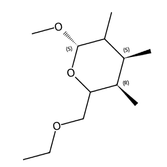 CCOCC1O[C@H](OC)C(C)[C@@H](C)[C@H]1C